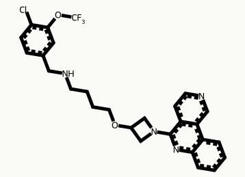 FC(F)(F)Oc1cc(CNCCCCOC2CN(c3nc4ccccc4c4cnccc34)C2)ccc1Cl